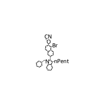 CCCCCc1c(-c2ccc3c(Br)c(OCC#N)ccc3c2)n(Cc2ccccc2)c2ccccc12